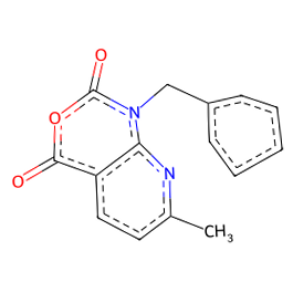 Cc1ccc2c(=O)oc(=O)n(Cc3ccccc3)c2n1